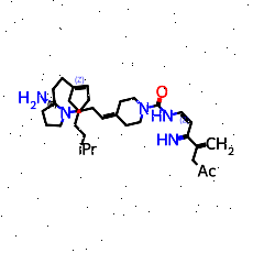 C=C(CC(C)=O)C(=N)/C=C\NC(=O)N1CCC(=CCC(CCC(C)C)C/C2=C\CCN3CCC[C@@]3(N)CC2)CC1